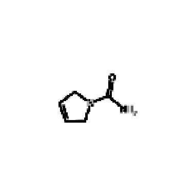 NC(=O)N1CC=CC1